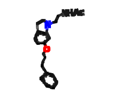 CC(=O)NCCN1CCc2ccc(OCCCc3ccccc3)cc21